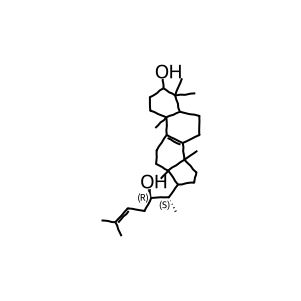 CC(C)=CC[C@@H](O)[C@@H](C)C1CCC2(C)C3=C(CCC12C)C1(C)CCC(O)C(C)(C)C1CC3